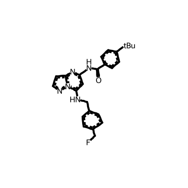 CC(C)(C)c1ccc(C(=O)Nc2cc(NCc3ccc(CF)cc3)n3nccc3n2)cc1